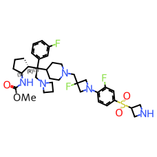 COC(=O)N[C@H]1CCC[C@@H]1[C@](CN1CCC1)(c1cccc(F)c1)C1CCN(CC2(F)CN(c3ccc(S(=O)(=O)C4CNC4)cc3F)C2)CC1